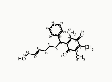 CC1=C(C)C(=O)C(C(CCCC=CCO)c2ccccc2)=C(C)C1=O